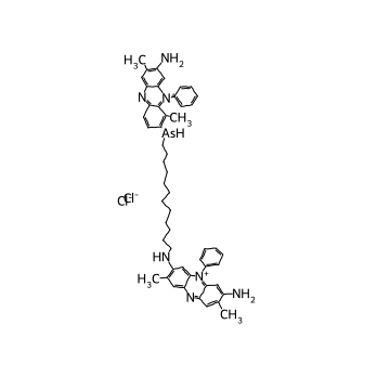 Cc1cc2nc3cc(C)c(NCCCCCCCCCCCC[AsH]c4ccc5nc6cc(C)c(N)cc6[n+](-c6ccccc6)c5c4C)cc3[n+](-c3ccccc3)c2cc1N.[Cl-].[Cl-]